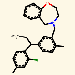 Cc1ccc(C(CC(=O)O)c2ccc(C)c(CN3CCOc4ccccc4C3)c2)c(F)c1